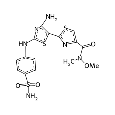 CON(C)C(=O)c1csc(-c2sc(Nc3ccc(S(N)(=O)=O)cc3)nc2N)n1